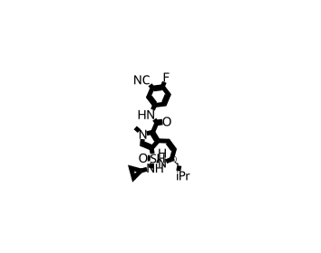 CC(C)C[C@H]1C=Cc2c(cn(C)c2C(=O)Nc2ccc(F)c(C#N)c2)[SH](=O)(NC2CC2)N1